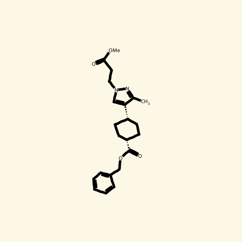 COC(=O)CCn1cc([C@H]2CC[C@@H](C(=O)OCc3ccccc3)CC2)c(C)n1